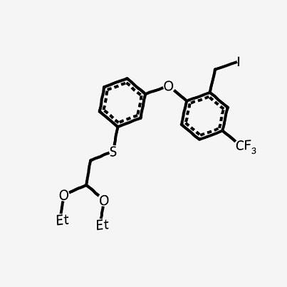 CCOC(CSc1cccc(Oc2ccc(C(F)(F)F)cc2CI)c1)OCC